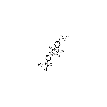 CN(C(=O)C1CC1)c1ccc(CC(NC(=O)OC(C)(C)C)C(=O)Nc2ccc(C(=O)O)cc2)cc1